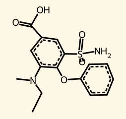 CCN(C)c1cc(C(=O)O)cc(S(N)(=O)=O)c1Oc1ccccc1